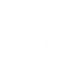 O=[SH](=O)c1ccc(CO)cc1